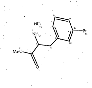 COC(=O)C(N)Cc1cccc(Br)c1.Cl